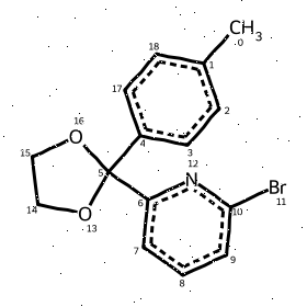 Cc1ccc(C2(c3cccc(Br)n3)OCCO2)cc1